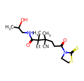 CCC(C)(C(=O)NCC(C)O)C(C)(C#N)CCC(=O)N1CCSC1=S